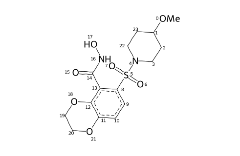 COC1CCN(S(=O)(=O)c2ccc3c(c2C(=O)NO)OCCO3)CC1